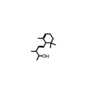 CC1=CCCC(C)(C)C1C=CC(C)C(C)O